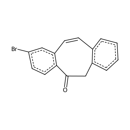 O=C1Cc2ccccc2C=Cc2cc(Br)ccc21